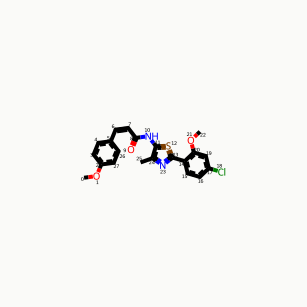 COc1ccc(/C=C\C(=O)Nc2sc(-c3ccc(Cl)cc3OC)nc2C)cc1